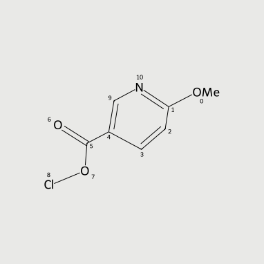 COc1ccc(C(=O)OCl)cn1